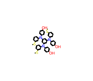 CSc1cccc(N(c2ccc(O)cc2)c2cc(N(c3ccc(O)cc3)c3cccc(SC)c3)cc(N(c3ccc(O)cc3)c3cccc(SC)c3)c2)c1